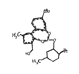 Cc1cc(CO)c2op(OC3CC(C)CCC3C(C)C)oc3cc(C(C)(C)C)ccc3c2c1